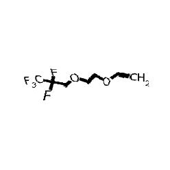 C=COCCOCC(F)(F)C(F)(F)F